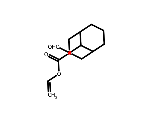 C=COC(=O)N1CC2CCCC(C1)C2CC=O